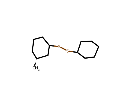 C[C@@H]1CCCC(SSC2CCCCC2)C1